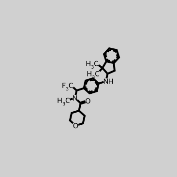 CN(C(=O)C1CCOCC1)C(c1ccc(NC2Cc3ccccc3C2(C)C)cc1)C(F)(F)F